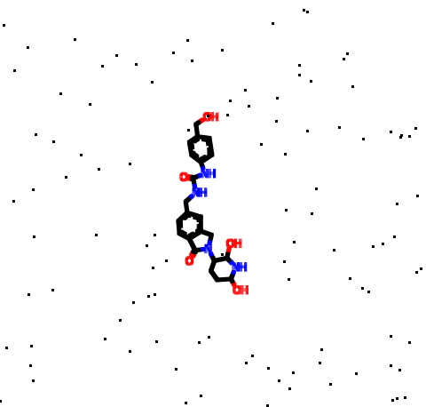 O=C(NCc1ccc2c(c1)CN(C1CCC(O)NC1O)C2=O)Nc1ccc(CO)cc1